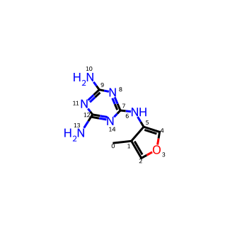 Cc1cocc1Nc1nc(N)nc(N)n1